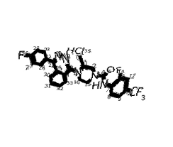 CC1CN(C(=O)Nc2ccc(C(F)(F)F)cc2F)CCN1c1nnc(-c2ccc(F)cc2)c2ccccc12.Cl